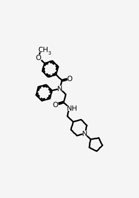 COc1ccc(C(=O)N(CC(=O)NCC2CCN(C3CCCC3)CC2)c2ccccc2)cc1